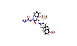 CC1CN(CCC(C(=O)NCC(N)=O)c2ccccc2)CCC1(C)c1cccc(O)c1.Cl.O